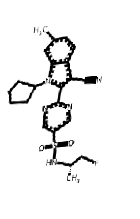 Cc1ccc2c(C#N)c(-c3ncc(S(=O)(=O)N[C@@H](C)CF)cn3)n(C3CCCC3)c2c1